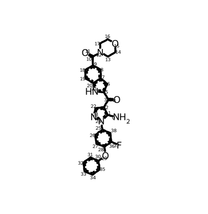 Nc1c(C(=O)c2cc3cc(C(=O)N4CCOCC4)ccc3[nH]2)cnn1-c1ccc(Oc2ccccc2)c(F)c1